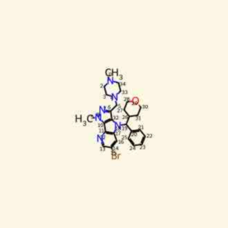 CN1CCN(Cc2nn(C)c3c4ncc(Br)cc4n(C(c4ccccc4)C4CCOCC4)c23)CC1